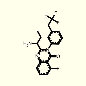 CC[C@H](N)c1nc2cccc(F)c2c(=O)n1-c1cccc(CC(F)(F)F)c1